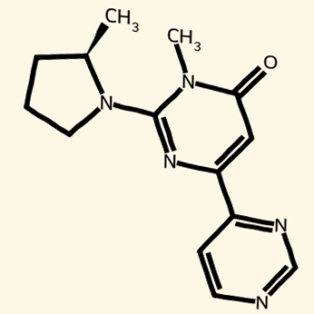 C[C@@H]1CCCN1c1nc(-c2ccncn2)cc(=O)n1C